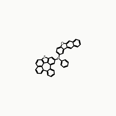 c1ccc(N(c2cc3c4c(c2)sc2ccc5cccc(c5c24)-c2ccccc2-3)c2ccc3oc4cc5ccccc5cc4c3c2)cc1